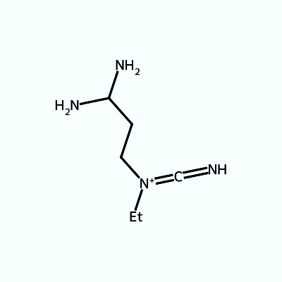 CC[N+](=C=N)CCC(N)N